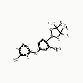 CC1(C)OB(c2ccc(Oc3nccc(C#N)n3)cc2C=O)OC1(C)C